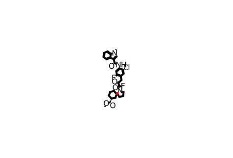 COC(=O)[C@H]1CC[C@H](OC(F)(C(=O)Cc2cc(Cl)c(NC(=O)c3cn(C)c4ccccc34)cc2F)N2CCCC2)CC1